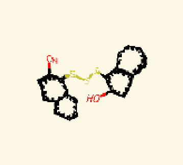 Oc1ccc2ccccc2c1SSSc1c(O)ccc2ccccc12